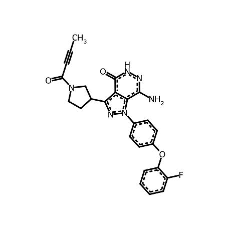 CC#CC(=O)N1CCC(c2nn(-c3ccc(Oc4ccccc4F)cc3)c3c(N)n[nH]c(=O)c23)C1